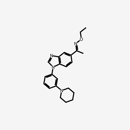 CCON=C(C)c1ccc2c(c1)ncn2-c1cccc(N2CCCCC2)c1